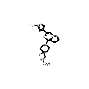 Cn1cc(-c2cn3nccc3c(N3CCC(F)(CNC(=O)O)CC3)n2)cn1